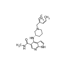 C/C=C\C(=C/C)CN1CCC[C@H](Nc2c(C(=O)NC)cnc3[nH]ccc23)C1